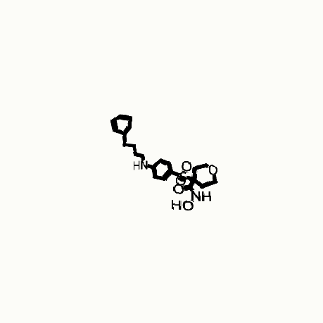 O=C(NO)C1(S(=O)(=O)c2ccc(NCCCCc3ccccc3)cc2)CCOCC1